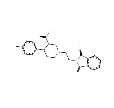 O=C(O)C1CN(CCN2C(=O)c3ccccc3C2=O)CCC1c1ccc(F)cc1